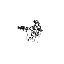 CC(C)C(N)CN1CCC(Nc2nc3ccccc3n2Cc2ncccc2N)CC1.Cl.Cl.Cl.Cl.O.O.O